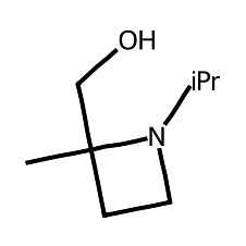 CC(C)N1CCC1(C)CO